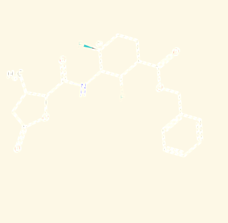 CC1CC(=O)OC1C(=O)NC1C(F)C(C(=O)OCc2ccccc2)CC[C@@H]1F